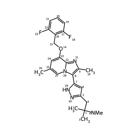 CNC(C)(C)Cc1cc(-c2c(C)nc3c(OCc4c(F)cccc4F)cc(C)cn23)[nH]n1